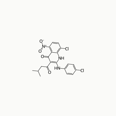 CC(C)CC(=O)c1c(Nc2ccc(Cl)cc2)[nH]c2c(Cl)ccc([N+](=O)[O-])c2c1=O